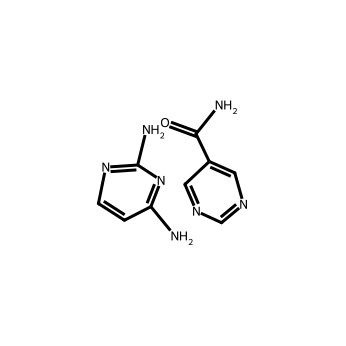 NC(=O)c1cncnc1.Nc1ccnc(N)n1